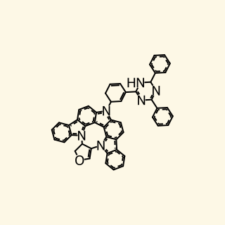 C1=CC(C2=NC(c3ccccc3)=NC(c3ccccc3)N2)=CC(n2c3ccc4c5ccccc5n5c4c3c3c2ccc2c4ccccc4n(c23)C2COC=C25)C1